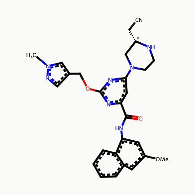 COc1cc(NC(=O)c2cc(N3CCN[C@@H](CC#N)C3)nc(OCc3cnn(C)c3)n2)c2ccccc2c1